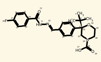 CC(C)(C)[C@]1(c2ccc(C=NNC(=O)c3ccc(F)cc3)cc2)CN(C(=O)O)CCO1